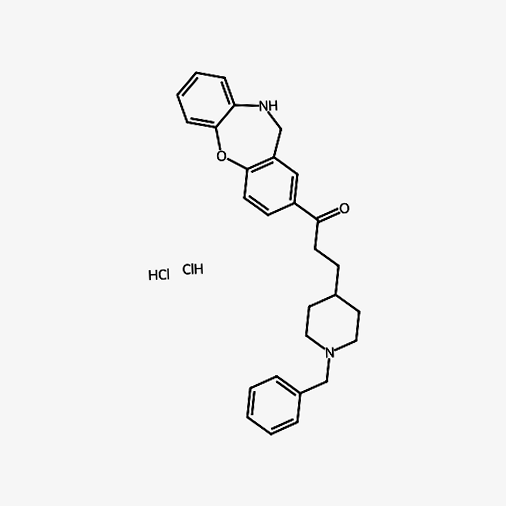 Cl.Cl.O=C(CCC1CCN(Cc2ccccc2)CC1)c1ccc2c(c1)CNc1ccccc1O2